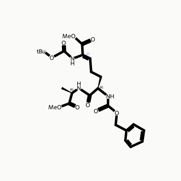 COC(=O)/C(=C/CC[C@@H](NC(=O)OCc1ccccc1)C(=O)N[C@H](C)C(=O)OC)NC(=O)OC(C)(C)C